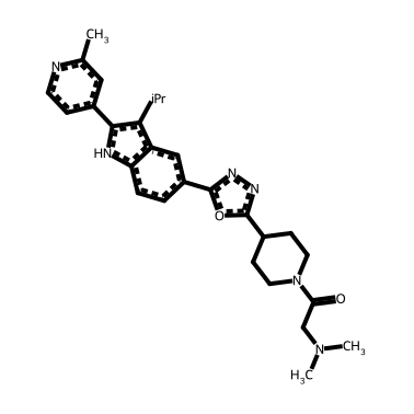 Cc1cc(-c2[nH]c3ccc(-c4nnc(C5CCN(C(=O)CN(C)C)CC5)o4)cc3c2C(C)C)ccn1